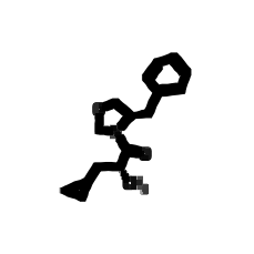 C[C@H](CC1CC1)C(=O)N1COC[C@H]1Cc1ccccc1